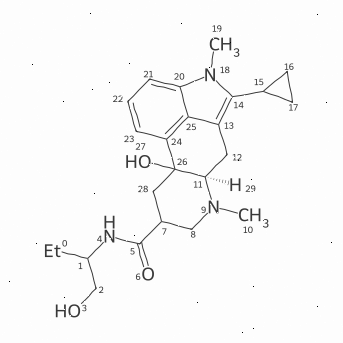 CCC(CO)NC(=O)C1CN(C)[C@@H]2Cc3c(C4CC4)n(C)c4cccc(c34)C2(O)C1